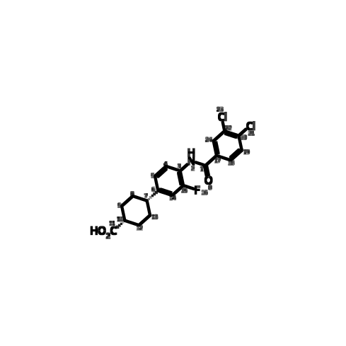 O=C(Nc1ccc([C@H]2CC[C@@H](C(=O)O)CC2)cc1F)c1ccc(Cl)c(Cl)c1